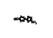 CC(C)(C)c1ccc(-c2nnc(N)s2)nc1